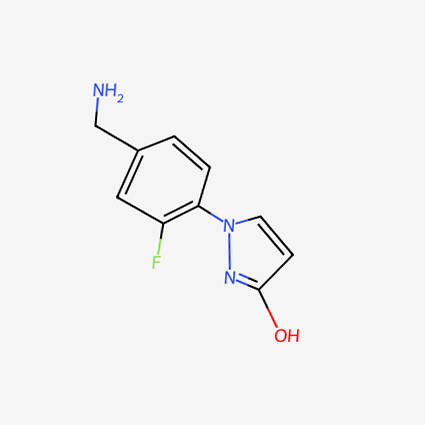 NCc1ccc(-n2ccc(O)n2)c(F)c1